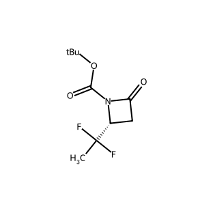 CC(C)(C)OC(=O)N1C(=O)C[C@@H]1C(C)(F)F